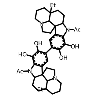 CCC12CCCN3CCC4(c5cc(-c6cc7c(c(O)c6O)N(C(C)=O)C6CCC8(CC)CCCN9CCC76C98)c(O)c(O)c5N(C(C)=O)C4CC1)C32